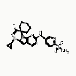 NS(=O)(=O)c1ccc(Nc2ncc3cc4n(c3n2)C2(CCCCC2)C(F)=NN4C2CC2)cn1